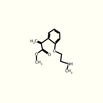 C=C(C(=O)OC)c1ccccc1OCCNC